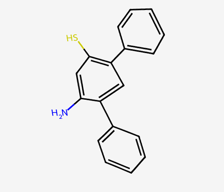 Nc1cc(S)c(-c2ccccc2)cc1-c1ccccc1